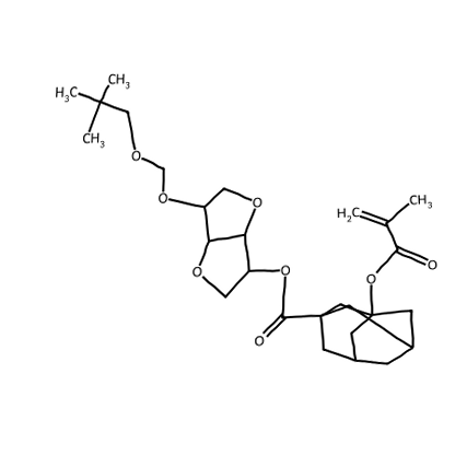 C=C(C)C(=O)OC12CC3CC(C1)CC(C(=O)OC1COC4C(OCOCC(C)(C)C)COC14)(C3)C2